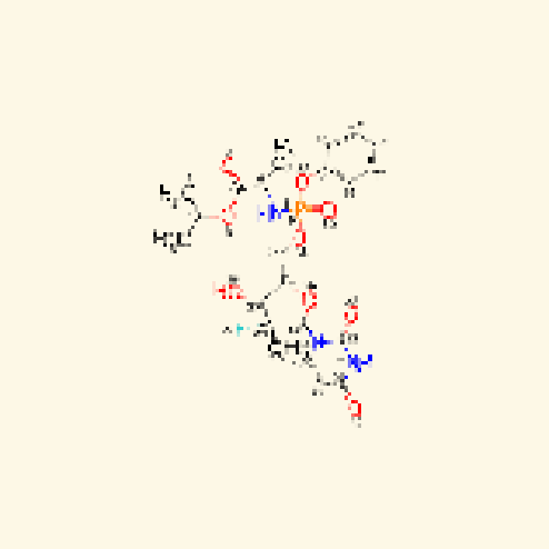 CC(C)OC(=O)[C@H](C)NP(=O)(OCC1O[C@@H](n2ccc(=O)[nH]c2=O)[C@](C)(F)[C@@H]1O)Oc1ccccc1